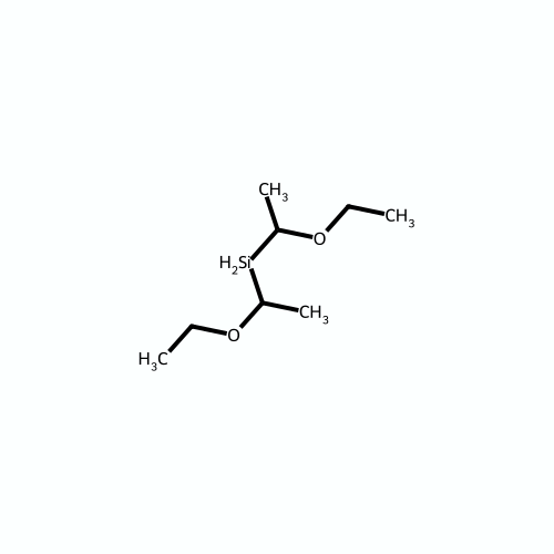 CCOC(C)[SiH2]C(C)OCC